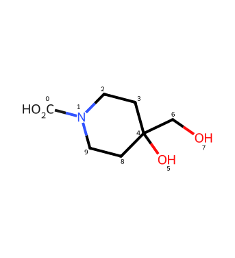 O=C(O)N1CCC(O)(CO)CC1